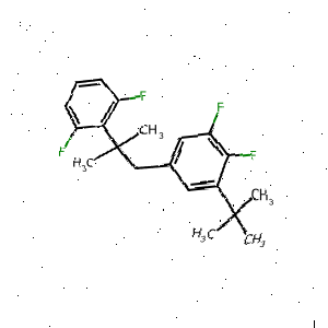 CC(C)(C)c1cc(CC(C)(C)c2c(F)cccc2F)cc(F)c1F